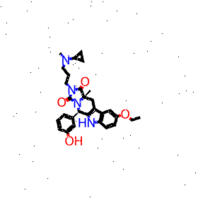 CCOc1ccc2[nH]c3c(c2c1)C[C@@]1(C)C(=O)N(CCCN(C)C2CC2)C(=O)N1[C@@H]3c1cccc(O)c1